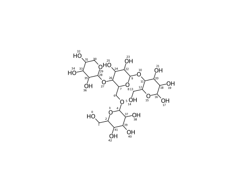 OCC1OC(OCC2OC(OC3C(CO)OC(O)C(O)C3O)C(O)C(O)C2OC2OCC(O)C(O)C2O)C(O)C(O)C1O